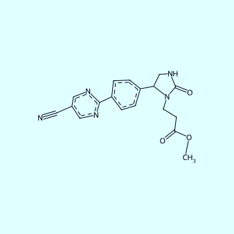 COC(=O)CCN1C(=O)NCC1c1ccc(-c2ncc(C#N)cn2)cc1